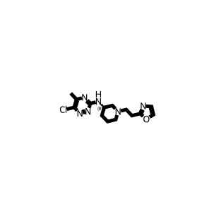 Cc1nc(N[C@@H]2CCCN(CCc3ncco3)C2)nnc1Cl